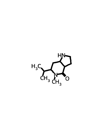 CC(C)C1CC2NCCC2C(=O)N1C